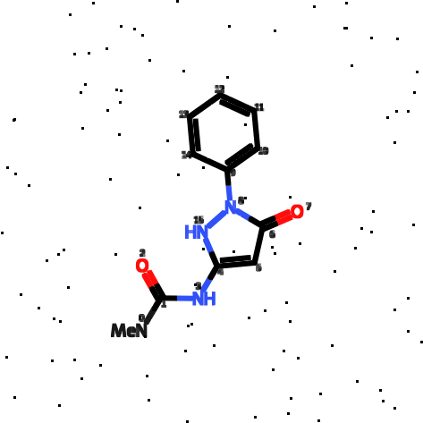 CNC(=O)Nc1cc(=O)n(-c2ccccc2)[nH]1